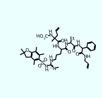 C=CCNC(=O)C(NC(=O)C(CC)NC(=O)C(CCCN/C(=N\C)NS(=O)(=O)c1c(C)c(C)c2c(c1C)CC(C)(C)O2)NC(=O)C(C)(CC=C)NC(=O)O)c1ccccc1